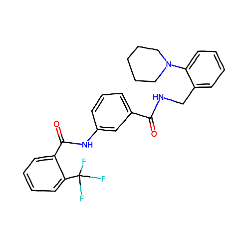 O=C(NCc1ccccc1N1CCCCC1)c1cccc(NC(=O)c2ccccc2C(F)(F)F)c1